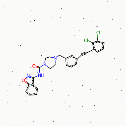 O=C(Nc1noc2ccccc12)N1CCN(Cc2cccc(C#Cc3cccc(Cl)c3Cl)c2)CC1